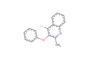 Cc1nc2ccccc2c(F)c1Oc1ccccc1